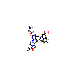 C=CC(=O)N1CCN(c2nc(OCCN(C)C)nc3c2CCN(c2cc(O)cc4ccccc24)C3)C[C@H]1C